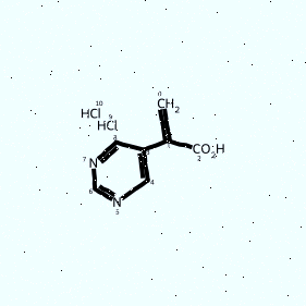 C=C(C(=O)O)c1cncnc1.Cl.Cl